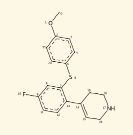 COc1ccc(Sc2cc(F)ccc2C2=CCNCC2)cc1